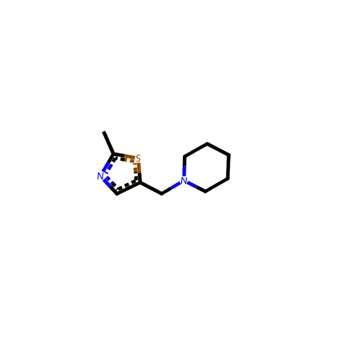 Cc1ncc(CN2CCCCC2)s1